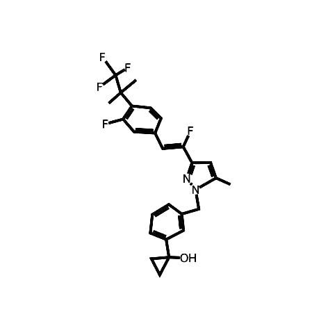 Cc1cc(/C(F)=C/c2ccc(C(C)(C)C(F)(F)F)c(F)c2)nn1Cc1cccc(C2(O)CC2)c1